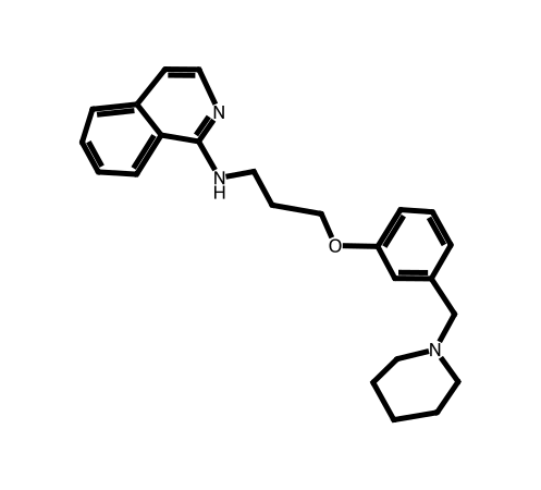 c1cc(CN2CCCCC2)cc(OCCCNc2nccc3ccccc23)c1